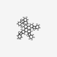 c1cc2c3c(c1)Oc1c4c(c(-c5ccc6c(c5)oc5ccccc56)c(-c5ccc6c(c5)oc5ccccc56)c1-c1ccc5c(c1)oc1ccccc15)Sc1cccc(c1B34)O2